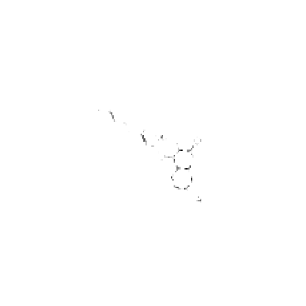 COc1c(OC/C=C(\C)CCC=C(C)C)c2ccc(OC(C)=O)cc2oc1=O